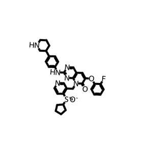 O=c1c(Oc2ccccc2F)cc2cnc(Nc3ccc(C4CCCNC4)cc3)nc2n1Cc1cnccc1[S+]([O-])C1CCCC1